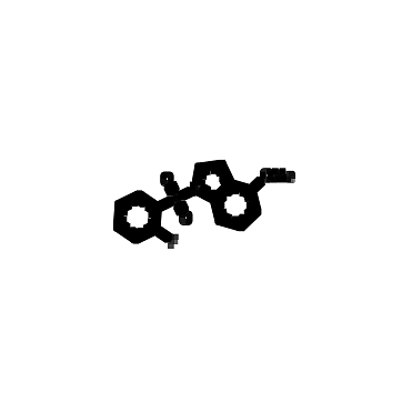 COc1cccc2c1ccn2S(=O)(=O)c1ccccc1F